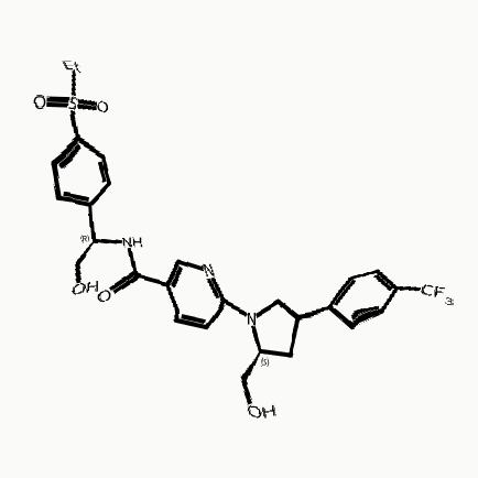 CCS(=O)(=O)c1ccc([C@H](CO)NC(=O)c2ccc(N3CC(c4ccc(C(F)(F)F)cc4)C[C@H]3CO)nc2)cc1